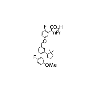 CCCC(C(=O)O)c1cc(OCc2ccc(-c3cc(OC)ccc3F)c(C3=CCCC3(C)C)c2)ccc1F